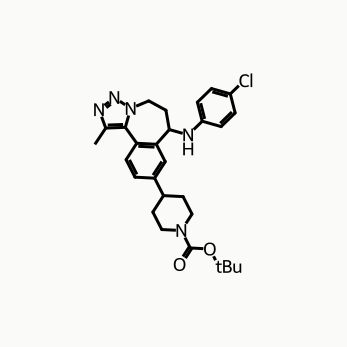 Cc1nnn2c1-c1ccc(C3CCN(C(=O)OC(C)(C)C)CC3)cc1C(Nc1ccc(Cl)cc1)CC2